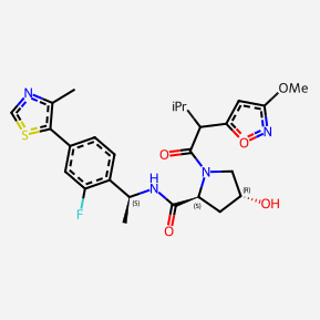 COc1cc(C(C(=O)N2C[C@H](O)C[C@H]2C(=O)N[C@@H](C)c2ccc(-c3scnc3C)cc2F)C(C)C)on1